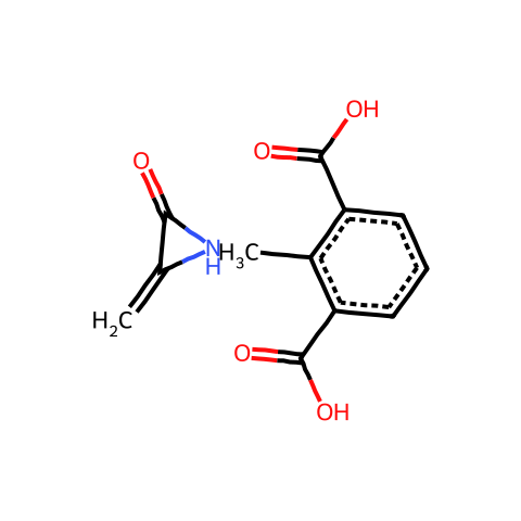 C=C1NC1=O.Cc1c(C(=O)O)cccc1C(=O)O